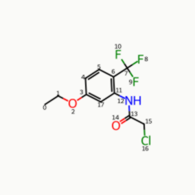 CCOc1ccc(C(F)(F)F)c(NC(=O)CCl)c1